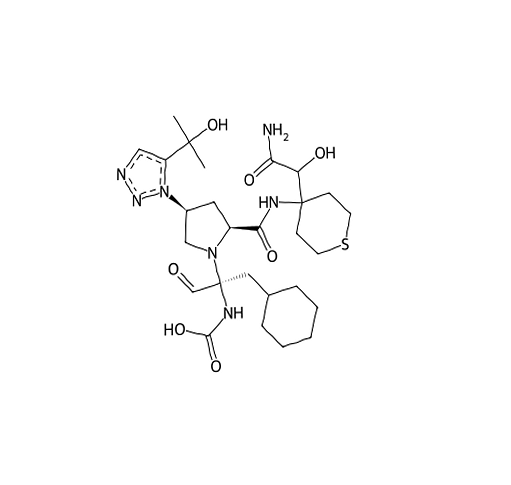 CC(C)(O)c1cnnn1[C@H]1C[C@@H](C(=O)NC2(C(O)C(N)=O)CCSCC2)N([C@@](C=O)(CC2CCCCC2)NC(=O)O)C1